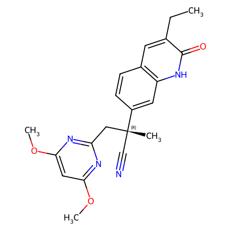 CCc1cc2ccc([C@](C)(C#N)Cc3nc(OC)cc(OC)n3)cc2[nH]c1=O